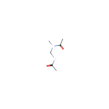 CC(=O)NCN(C)C(C)=O